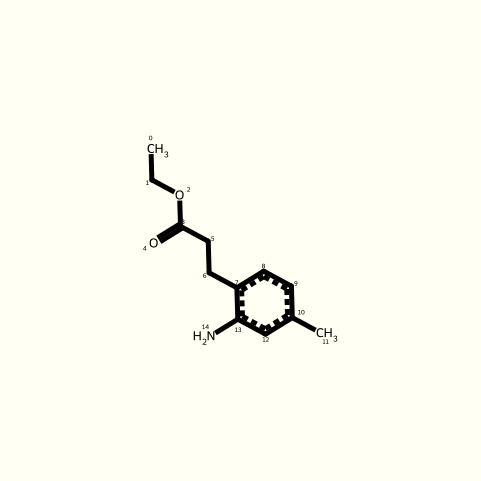 CCOC(=O)CCc1ccc(C)cc1N